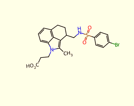 Cc1c2c3c(cccc3n1CCC(=O)O)CCC2CNS(=O)(=O)c1ccc(Br)cc1